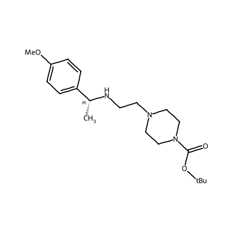 COc1ccc([C@@H](C)NCCN2CCN(C(=O)OC(C)(C)C)CC2)cc1